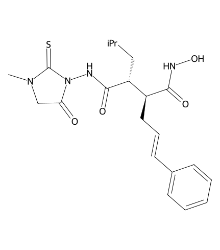 CC(C)C[C@@H](C(=O)NN1C(=O)CN(C)C1=S)[C@H](C/C=C/c1ccccc1)C(=O)NO